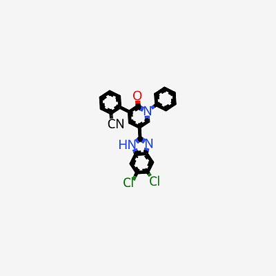 N#Cc1ccccc1-c1cc(-c2nc3cc(Cl)c(Cl)cc3[nH]2)cn(-c2ccccc2)c1=O